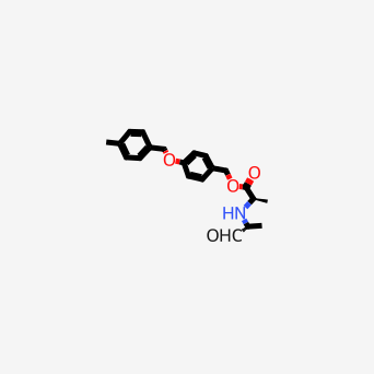 Cc1ccc(COc2ccc(COC(=O)[C@@H](C)N[C@@H](C)C=O)cc2)cc1